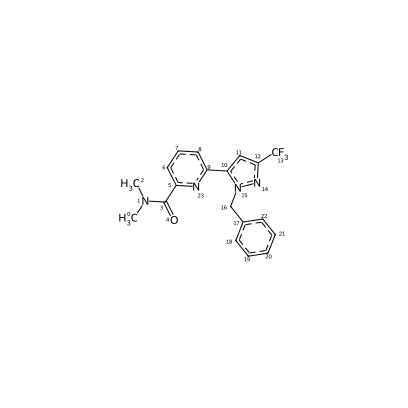 CN(C)C(=O)c1cccc(-c2cc(C(F)(F)F)nn2Cc2ccccc2)n1